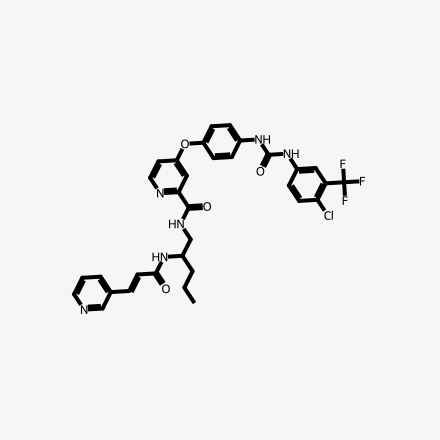 CCCC(CNC(=O)c1cc(Oc2ccc(NC(=O)Nc3ccc(Cl)c(C(F)(F)F)c3)cc2)ccn1)NC(=O)C=Cc1cccnc1